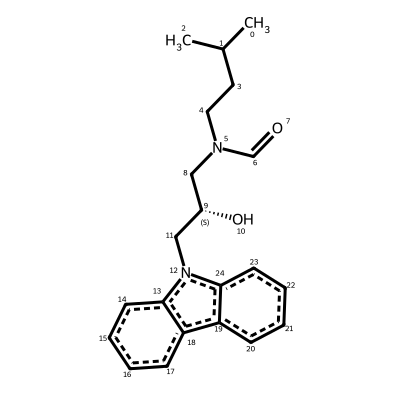 CC(C)CCN(C=O)C[C@H](O)Cn1c2ccccc2c2ccccc21